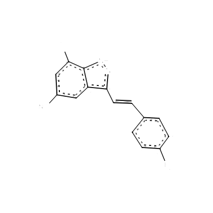 N#Cc1cc(F)c2[nH]nc(C=Cc3ccc(F)cc3)c2c1